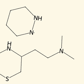 C1CCN[N]C1.CN(C)CCC1CSCCN1